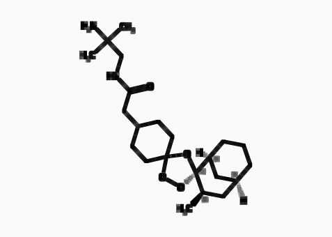 C[C@@H]1C[C@@H]2CCC[C@@H](C2)[C@@]12OOC1(CCC(CC(=O)NCC(C)(C)N)CC1)O2